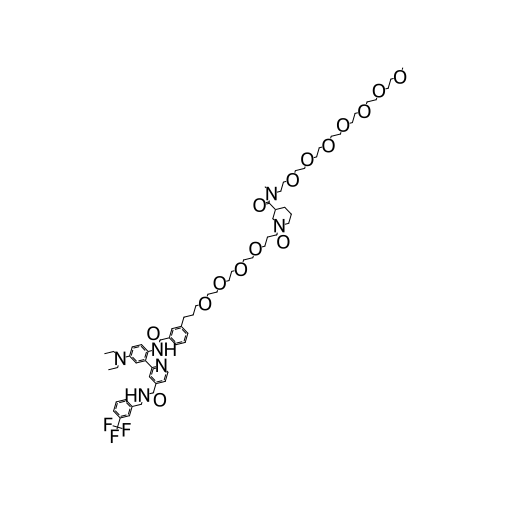 CCN(CC)c1ccc(NC(=O)c2cccc(CCCOCCOCCOCCOCCC(=O)N3CCCC(C(=O)N(C)CCOCCOCCOCCOCCOCCOCCOC)C3)c2)c(-c2cc(C(=O)NCc3cccc(C(F)(F)F)c3)ccn2)c1